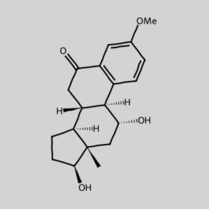 COc1ccc2c(c1)C(=O)C[C@@H]1[C@@H]2[C@H](O)C[C@]2(C)[C@@H](O)CC[C@@H]12